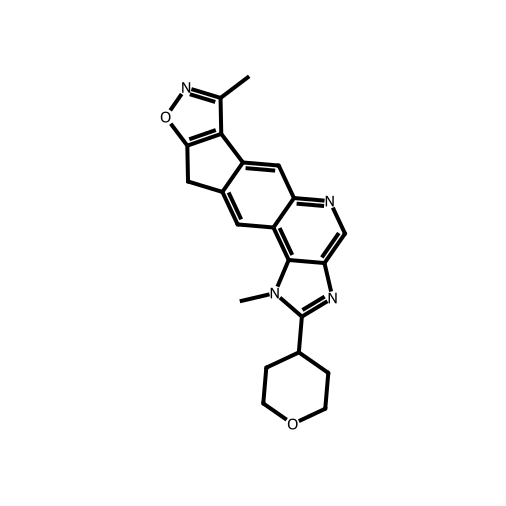 Cc1noc2c1-c1cc3ncc4nc(C5CCOCC5)n(C)c4c3cc1C2